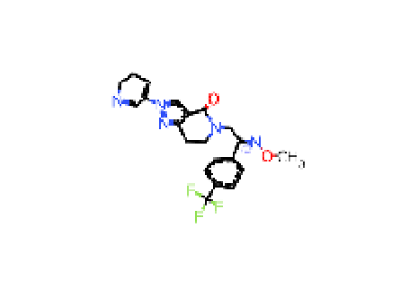 CO/N=C(/CN1CCc2nn(C3=CCCN=C3)cc2C1=O)c1ccc(C(F)(F)F)cc1